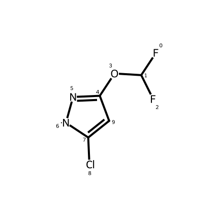 FC(F)OC1=N[N]C(Cl)=C1